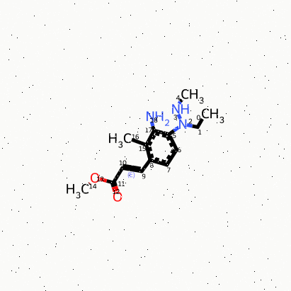 CCN(NC)c1ccc(/C=C/C(=O)OC)c(C)c1N